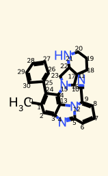 Cc1cc2nc3cccc(C#N)n3c2c(N2CC3CCCNC3C2)c1-c1ccccc1